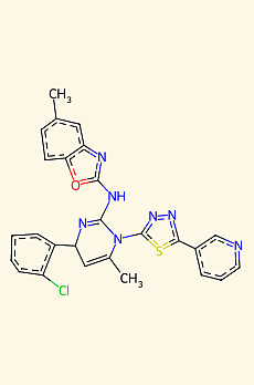 CC1=CC(c2ccccc2Cl)N=C(Nc2nc3cc(C)ccc3o2)N1c1nnc(-c2cccnc2)s1